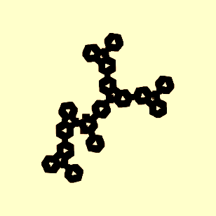 c1ccc(-c2cc(-c3ccc(-n4c5ccc(-c6ccc7c(c6)c6ccccc6n7-c6ccccc6)cc5c5cc(-c6ccc7c(c6)c6ccccc6n7-c6ccccc6)ccc54)cc3)nc(-n3c4ccccc4c4ccc(-c5ccc6c(c5)c5ccccc5n6-c5ccccc5)cc43)n2)cc1